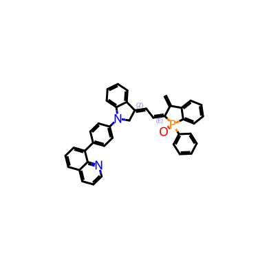 C=C1/C(=C\C=C2/CN(c3ccc(-c4cccc5cccnc45)cc3)c3ccccc32)P(=O)(c2ccccc2)c2ccccc21